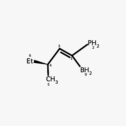 B/C(P)=C\[C@@H](C)CC